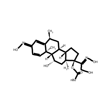 CCCCC(=O)O[C@]1(/C(CO)=N/O)CC[C@H]2[C@@H]3C[C@H](C)C4=C/C(=N/O)C=C[C@]4(C)[C@H]3[C@@H](O)C[C@@]21C